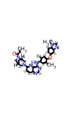 C=CC(=O)N1C[C@@H]2C[C@H]1CN(c1ccc3ncnc(Nc4cc(C)c(Oc5ccc6c(c5)ncn6C)cc4F)c3n1)C2